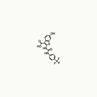 O=C(Nc1ccc(C(F)(F)F)cc1)Nc1sc2cc(O)ccc2c1C(=O)O